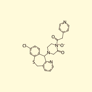 O=C(Cc1ccncc1)[N+]1([O-])CCN(C2c3ccc(Cl)cc3SCc3cccnc32)CC1=O